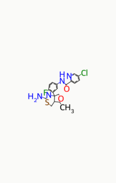 CC1OCC2(c3cc(NC(=O)c4ccc(Cl)cn4)ccc3F)N=C(N)SCC12